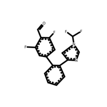 O=Cc1c(F)cc(-c2ccccc2-c2cn(C(F)F)cn2)cc1F